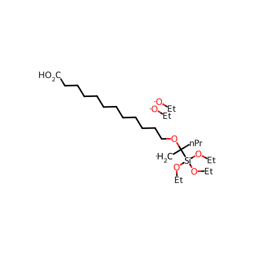 [CH2]C(CCC)(OCCCCCCCCCCCC(=O)O)[Si](OCC)(OCC)OCC.[CH2]C[O].[CH2]C[O]